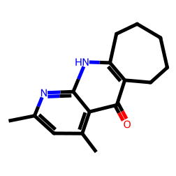 Cc1cc(C)c2c(=O)c3c([nH]c2n1)CCCCC3